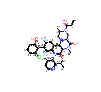 C=CC(=O)N1CC2C(=O)N(C)c3c(c4cc(F)c(-c5c(O)cccc5Cl)c(F)c4n(-c4c(C)ccnc4C(C)C)c3=O)N2CC1C